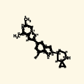 Cc1cn2nc(-c3cc(F)c4nn([C@H]5CCNC6(CC6)C5)cc4c3)cc2c(C)n1